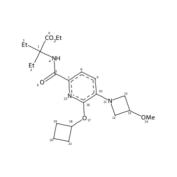 CCOC(=O)C(CC)(CC)NC(=O)c1ccc(N2CC(OC)C2)c(OC2CCC2)n1